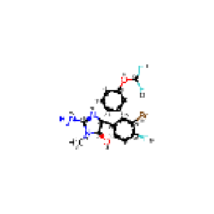 CN1C(=O)[C@](c2ccc(OC(F)F)cc2)(c2ccc(F)c(Br)c2)N=C1N